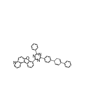 C1=CC(c2ccc(-c3nc(-c4ccccc4)nc(-c4cccc5c4oc4ccc6ncccc6c45)n3)cc2)CC=C1c1ccccc1